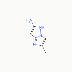 Cc1cn2[nH]c(N)cc2n1